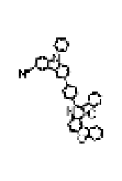 N#Cc1ccc2c(c1)c1cc(-c3ccc(-c4nc5ccc6oc7ccccc7c6c5c5oc6ccccc6c45)cc3)ccc1n2-c1ccccc1